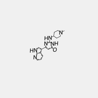 CN1CCC(Nc2nc(-c3c[nH]c4ncccc34)cc(=O)[nH]2)CC1